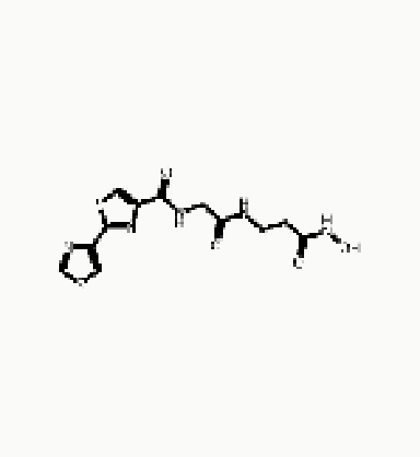 O=C(CCNC(=O)CNC(=O)c1csc(-c2cscn2)n1)NO